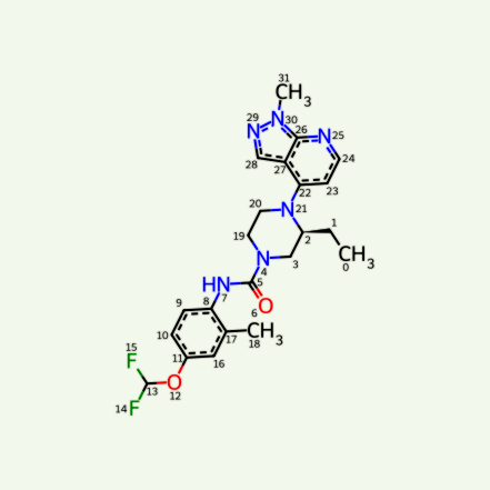 CC[C@H]1CN(C(=O)Nc2ccc(OC(F)F)cc2C)CCN1c1ccnc2c1cnn2C